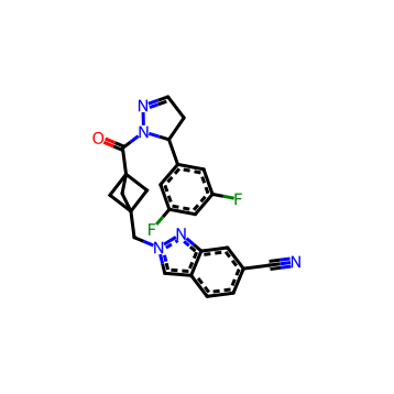 N#Cc1ccc2cn(CC34CC(C(=O)N5N=CCC5c5cc(F)cc(F)c5)(C3)C4)nc2c1